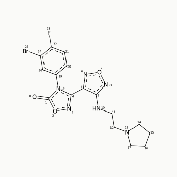 O=c1onc(-c2nonc2NCCN2CCCC2)n1-c1ccc(F)c(Br)c1